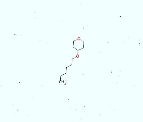 [CH2]CCCCCOC1CCOCC1